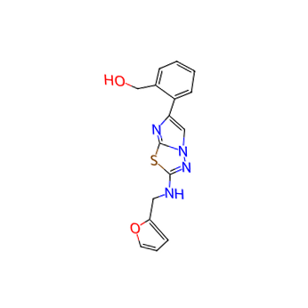 OCc1ccccc1-c1cn2nc(NCc3ccco3)sc2n1